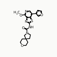 COc1ncc(-c2ccoc2)c2sc(NC(=O)N3CCC4(CCOCC4)C3)nc12